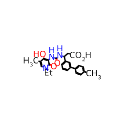 CCn1cc(C)c(O)c(NC(=O)NC(CC(=O)O)c2cccc(-c3ccc(C)cc3)c2)c1=O